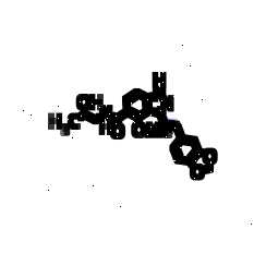 COc1c(C(=O)NCC(C)O)ccc2[nH]nc(/C=C/c3ccc4c(c3)OCO4)c12